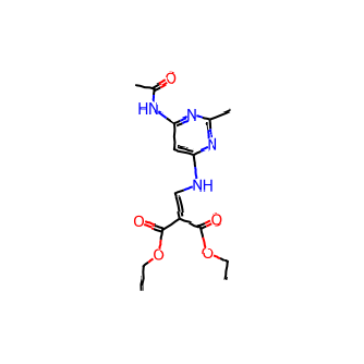 CCOC(=O)C(=CNc1cc(NC(C)=O)nc(C)n1)C(=O)OCC